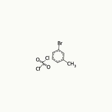 Cc1cccc(Br)c1.O=S(=O)(Cl)Cl